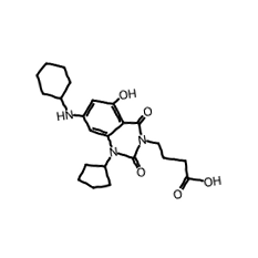 O=C(O)CCCn1c(=O)c2c(O)cc(NC3CCCCC3)cc2n(C2CCCC2)c1=O